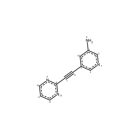 Nc1cncc(C#Cc2ncccn2)c1